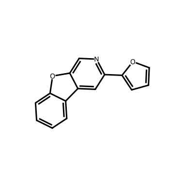 c1coc(-c2cc3c(cn2)oc2ccccc23)c1